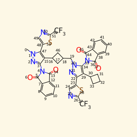 Cn1nc(N2C(=O)c3ccccc3C2=O)c(C2CC(Cn3nc(-c4cnc(C(F)(F)F)s4)c(C4CCC4)c3N3C(=O)c4ccccc4C3=O)C2)c1-c1cnc(C(F)(F)F)s1